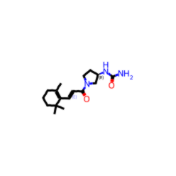 CC1=C(/C=C/C(=O)N2CC[C@@H](NC(N)=O)C2)C(C)(C)CCC1